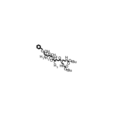 C[C@@H](CCC(=O)N(CCNC(=O)OC(C)(C)C)CCNC(=O)OC(C)(C)C)C(=O)NC(C)(C)CCC(C)(C)CC(O)OCc1ccccc1